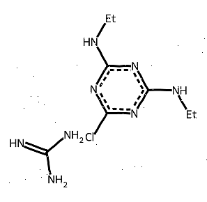 CCNc1nc(Cl)nc(NCC)n1.N=C(N)N